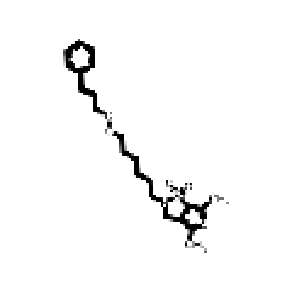 Cc1sc(C)c2c1CN(CCCCCCOOC/C=C/c1ccccc1)S2(=O)=O